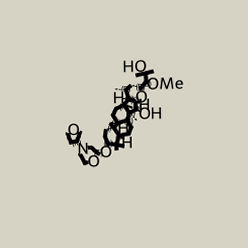 CO[C@@H]([C@H]1C[C@@H](C)[C@H]2[C@H](O1)[C@H](O)[C@@]1(C)[C@@H]3CC[C@H]4C(C)(C)[C@@H](O[C@H]5CN([C@@H]6CCOC6)CCO5)CC[C@@]45C[C@@]35CC[C@]21C)C(C)(C)O